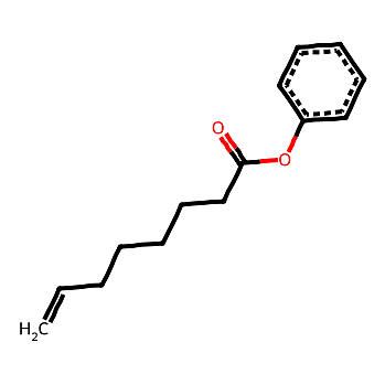 C=CCCCCCC(=O)Oc1ccccc1